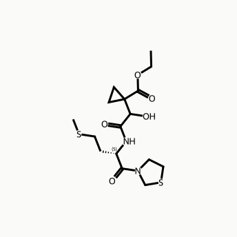 CCOC(=O)C1(C(O)C(=O)N[C@@H](CCSC)C(=O)N2CCSC2)CC1